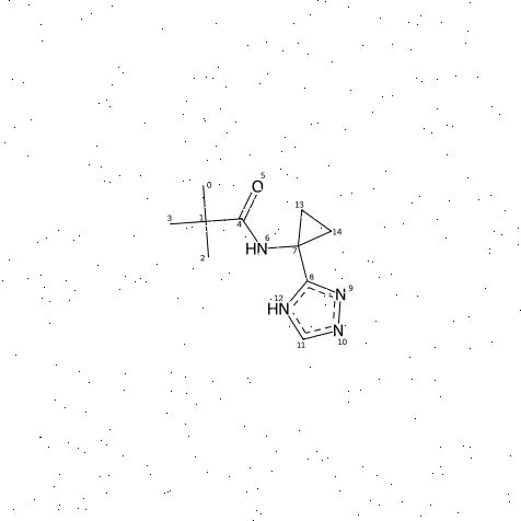 CC(C)(C)C(=O)NC1(c2nnc[nH]2)CC1